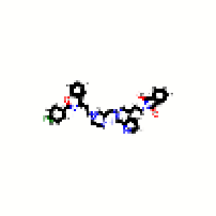 O=C(NC(CCN1CCNC(CN(CCCCN2C(=O)c3ccccc3C2=O)Cc2ccccn2)C1)c1ccccc1)C1CCC(F)(F)CC1